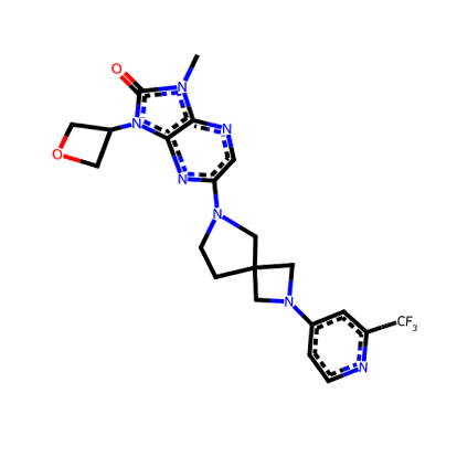 Cn1c(=O)n(C2COC2)c2nc(N3CCC4(CN(c5ccnc(C(F)(F)F)c5)C4)C3)cnc21